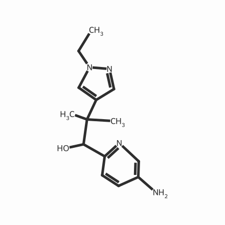 CCn1cc(C(C)(C)C(O)c2ccc(N)cn2)cn1